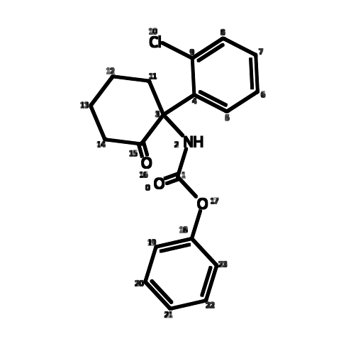 O=C(NC1(c2ccccc2Cl)CCCCC1=O)Oc1ccccc1